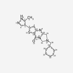 Cc1[nH]ncc1-c1cc2nc3n(c(=O)c2s1)CN(Cc1ccccc1)C3